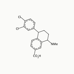 CNC1CCC(c2ccc(Cl)c(Cl)c2)c2ccc(C(=O)O)cc21